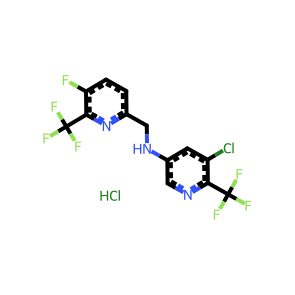 Cl.Fc1ccc(CNc2cnc(C(F)(F)F)c(Cl)c2)nc1C(F)(F)F